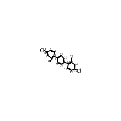 Cc1cc(Cl)ccc1-c1ccc(-c2ccc(Cl)cc2C)cc1